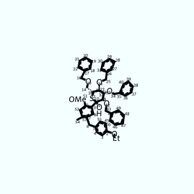 CCOc1ccc(Cc2cc(C3(O)S[C@H](COCc4ccccc4)[C@@H](OCc4ccccc4)[C@H](OCc4ccccc4)[C@H]3OCc3ccccc3)c(OC)cc2C)cc1